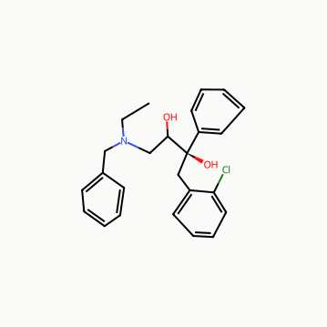 CCN(Cc1ccccc1)CC(O)[C@@](O)(Cc1ccccc1Cl)c1ccccc1